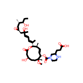 CC[C@H](O)[C@@H](C)[C@H]1O[C@@H]1CC(C)(O)/C=C/C=C(\C)[C@H]1OC(=O)C[C@H](O)CC[C@@](C)(OC)[C@@H](OC(=O)N2CCNC(CCC(=O)O)C2)/C=C/[C@@H]1C